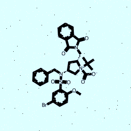 COc1ccc(Br)cc1S(=O)(=O)N(Cc1ccccc1)[C@@H]1C[C@H](CN2C(=O)c3ccccc3C2=O)[N+](C(=O)[O-])(C(C)(C)C)C1